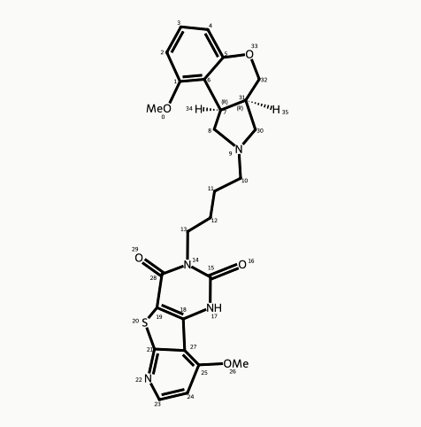 COc1cccc2c1[C@@H]1CN(CCCCn3c(=O)[nH]c4c(sc5nccc(OC)c54)c3=O)C[C@@H]1CO2